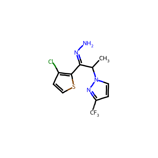 CC(C(=NN)c1sccc1Cl)n1ccc(C(F)(F)F)n1